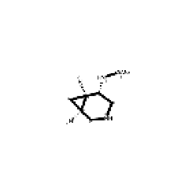 CSN[C@@H]1CNC[C@H]2C[C@H]21